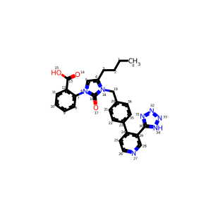 CCCCc1cn(-c2ccccc2C(=O)O)c(=O)n1Cc1ccc(-c2ccncc2-c2nnn[nH]2)cc1